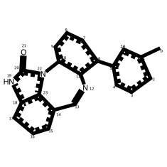 Cc1cccc(-c2cccc3c2N=Cc2cccc4[nH]c(=O)n-3c24)c1